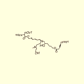 CCCCCCCC#CCC(=O)OCCCCC(O)CN(CCCCCCOC(=O)C(CCCCCC)CCCCCCCC)CCN(C)CCO